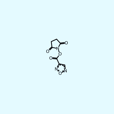 O=C(ON1C(=O)CCC1=O)c1cnon1